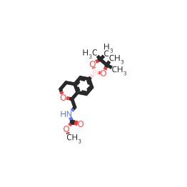 COC(=O)NCC1OCCc2cc(B3OC(C)(C)C(C)(C)O3)ccc21